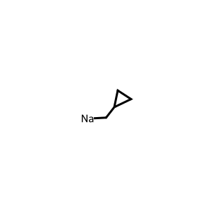 [Na][CH2]C1CC1